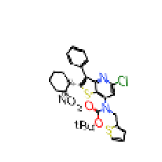 CC(C)(C)OC(=O)N(Cc1cccs1)c1cc(Cl)nc2c(-c3ccccc3)c([C@H]3CCCC[C@@H]3[N+](=O)[O-])sc12